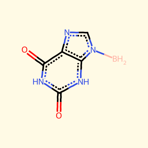 Bn1cnc2c(=O)[nH]c(=O)[nH]c21